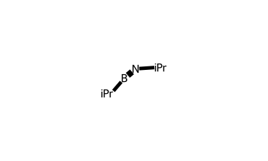 CC(C)/B=N\C(C)C